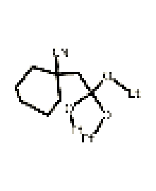 CCOC(CC1(C#N)CCCCC1)(OCC)OCC